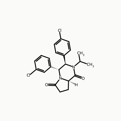 CC(C)N1C(=O)[C@H]2CCC(=O)N2[C@H](c2cccc(Cl)c2)[C@H]1c1ccc(Cl)cc1